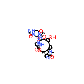 CCn1c(-c2cccnc2[C@H](C)OC)c2c3cc(ccc31)-c1cc(O)cc(c1)C[C@H](NC(=O)C(C(C)C)N1CCCN(C(=O)[C@H]3CN3)CCCC1=O)C(=O)N1CCC[C@H](N1)C(=O)OCC(C)(C)C2